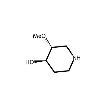 CO[C@@H]1CNCC[C@H]1O